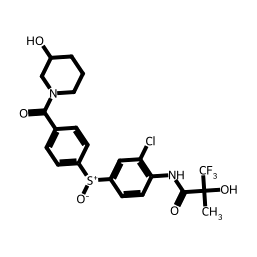 CC(O)(C(=O)Nc1ccc([S+]([O-])c2ccc(C(=O)N3CCCC(O)C3)cc2)cc1Cl)C(F)(F)F